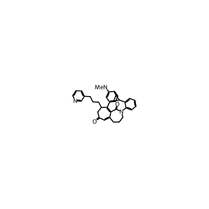 CNc1cccc(C2=C3C(=O)N(c4ccccc4C4CC4)CCCC3=CC(=O)CC2CCCc2cccnc2)c1